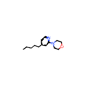 CCCCCc1ccnc(N2CCOCC2)c1